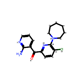 Nc1ncccc1C(=O)c1ccc(Cl)c(N2CCCCCC2)n1